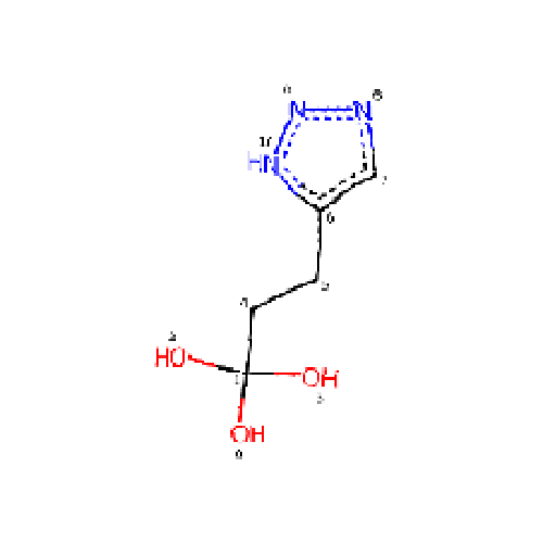 OC(O)(O)CCc1[c]nn[nH]1